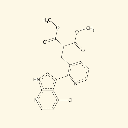 COC(=O)C(Cc1cccnc1-c1c[nH]c2nccc(Cl)c12)C(=O)OC